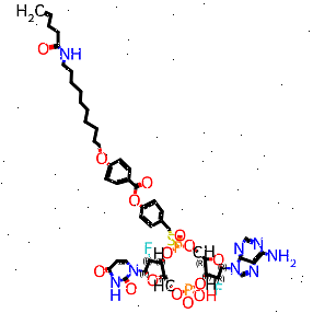 C=CCCC(=O)NCCCCCCCCCCOc1ccc(C(=O)Oc2ccc(CSP3(=O)OC[C@H]4O[C@@H](n5cnc6c(N)ncnc65)[C@H](F)[C@@H]4OP(=O)(O)OC[C@H]4O[C@@H](n5ccc(=O)[nH]c5=O)[C@H](F)[C@@H]4O3)cc2)cc1